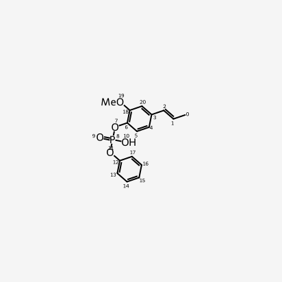 C/C=C/c1ccc(OP(=O)(O)Oc2ccccc2)c(OC)c1